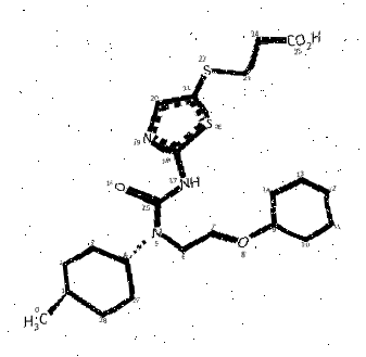 C[C@H]1CC[C@H](N(CCOC2CCCCC2)C(=O)Nc2ncc(SCCC(=O)O)s2)CC1